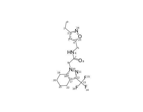 CCc1cc(CNC(=O)Cn2nc(C(F)(F)F)c3c2CCCC3)on1